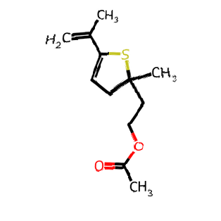 C=C(C)C1=CCC(C)(CCOC(C)=O)S1